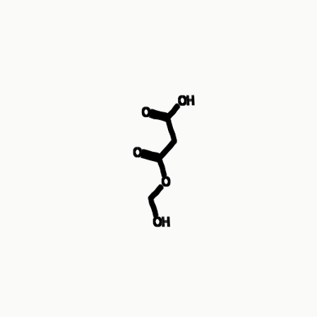 O=C(O)CC(=O)OCO